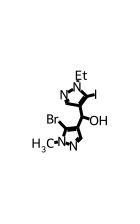 CCn1ncc(C(O)c2cnn(C)c2Br)c1I